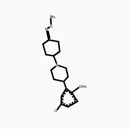 COc1ccc(Cl)cc1C1CCN(C2CCC(=NOC(C)(C)C)CC2)CC1